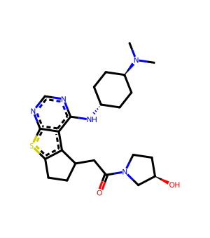 CN(C)[C@H]1CC[C@H](Nc2ncnc3sc4c(c23)C(CC(=O)N2CC[C@@H](O)C2)CC4)CC1